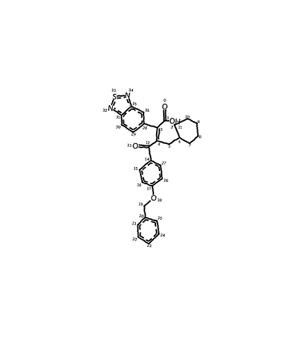 O=C(O)C(=C(CC1CCCCC1)C(=O)c1ccc(OCc2ccccc2)cc1)c1ccc2nsnc2c1